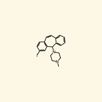 CN1CCN(C2c3ccccc3C=Cc3ccc(I)cc32)CC1